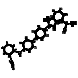 N#Cc1ccccc1Oc1ccc(-c2ccc(-c3nc4c(C(=O)O)cccc4[nH]3)cc2)cc1